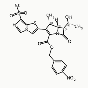 CCS(=O)(=O)c1ncn2cc(C3=C(C(=O)OCc4ccc([N+](=O)[O-])cc4)N4C(=O)[C@H]([C@@H](C)O)[C@H]4[C@H]3C)sc12